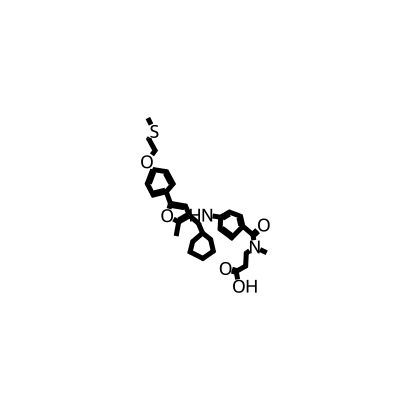 CSCCOc1ccc(-c2cc(C(Nc3ccc(C(=O)N(C)CCC(=O)O)cc3)C3CCCCC3)c(C)o2)cc1